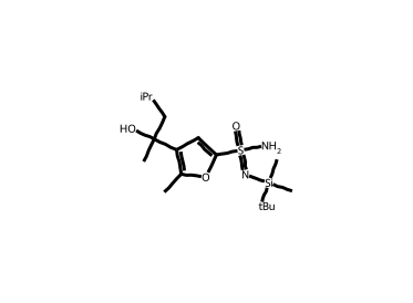 Cc1oc(S(N)(=O)=N[Si](C)(C)C(C)(C)C)cc1C(C)(O)CC(C)C